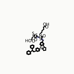 O=C(O)CCCCCn1c(=O)/c(=C/c2ccc3c(c2)C2CCCC2N3c2ccc(C=C(c3ccccc3)c3ccccc3)cc2)s/c1=C1/SC(=S)N(CC(=O)O)C1=O